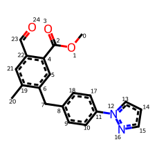 COC(=O)c1cc(Cc2ccc(-n3cccn3)cc2)c(C)cc1C=O